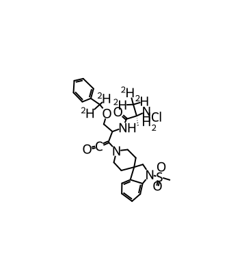 Cl.[2H]C([2H])(OCC(NC(=O)[C@](C)(N)C([2H])([2H])[2H])C(=C=O)N1CCC2(CC1)CN(S(C)(=O)=O)c1ccccc12)c1ccccc1